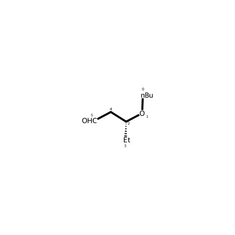 CCCCO[C@H](CC)CC=O